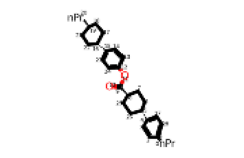 CCCc1ccc([C@H]2CC[C@H](C(=O)Oc3ccc([C@H]4CC[C@H](CCC)CC4)cc3)CC2)cc1